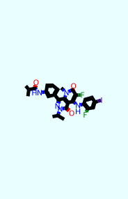 CC(C)C(=O)Nc1cccc(-c2nn(C(C)C)c(=O)c3c(Nc4ccc(I)cc4F)c(F)c(=O)n(C)c23)c1